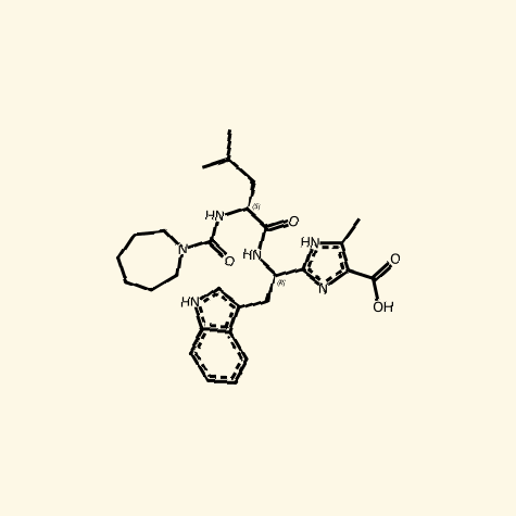 Cc1[nH]c([C@@H](Cc2c[nH]c3ccccc23)NC(=O)[C@H](CC(C)C)NC(=O)N2CCCCCC2)nc1C(=O)O